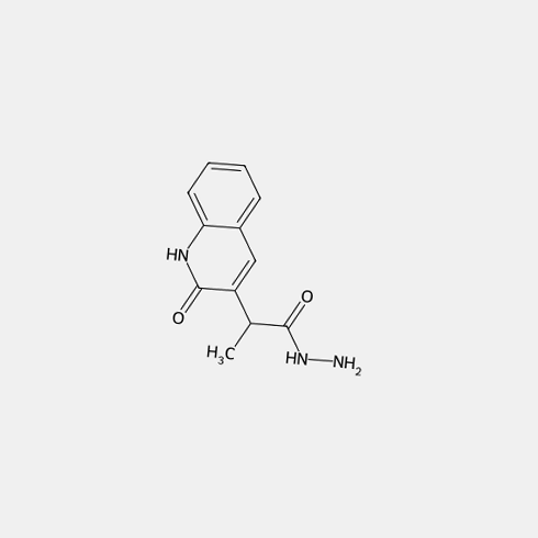 CC(C(=O)NN)c1cc2ccccc2[nH]c1=O